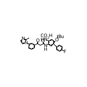 Cc1nccn1-c1cccc(C(=O)CC(=O)Nc2cc(-c3ccc(F)cc3)c(OC(C)(C)C)cc2NC(=O)O)c1